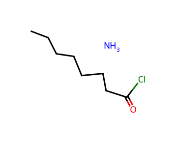 CCCCCCCC(=O)Cl.N